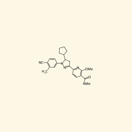 CNC(=O)c1ccc(C2=NN(c3ccc(C#N)c(C)c3)C(C3CCCC3)C2)nc1OC